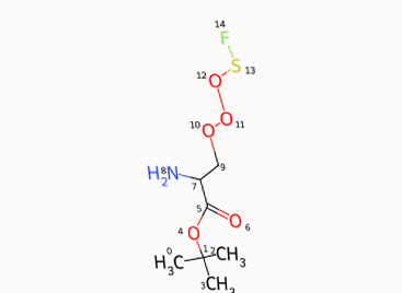 CC(C)(C)OC(=O)C(N)COOOSF